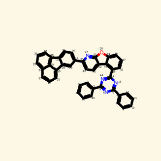 c1ccc(-c2nc(-c3ccccc3)nc(-c3cccc4oc5nc(-c6ccc7c(c6)-c6cccc8cccc-7c68)ccc5c34)n2)cc1